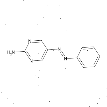 Nc1ncc(N=Nc2ccccc2)cn1